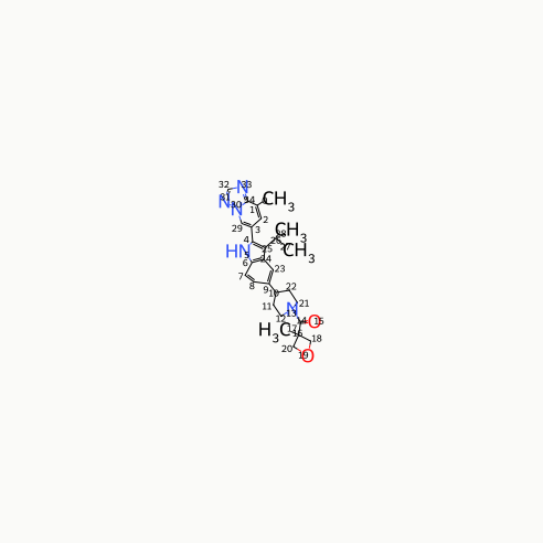 Cc1cc(-c2[nH]c3ccc(C4CCN(C(=O)C5(C)COC5)CC4)cc3c2C(C)C)cn2ncnc12